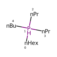 CCCCCC[PH](CCC)(CCC)CCCC